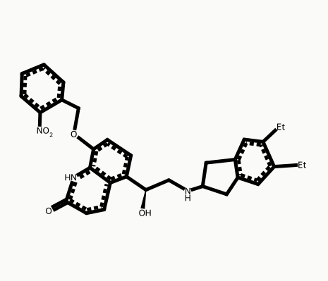 CCc1cc2c(cc1CC)CC(NC[C@@H](O)c1ccc(OCc3ccccc3[N+](=O)[O-])c3[nH]c(=O)ccc13)C2